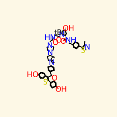 Cc1ncsc1-c1ccc(CNC(=O)[C@@H]2C[C@@H](O)CN2C(=O)C(NC(=O)CN2CCN(C3CCN(c4ccc(C(=O)c5c(-c6ccc(O)cc6)sc6cc(O)ccc56)cc4)CC3)CC2)C(C)(C)C)cc1